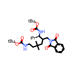 CC(C)[C@@H](NC(=O)OC(C)(C)C)C(CN1C(=O)c2ccccc2C1=O)CC(C)(C)CCNC(=O)OC(C)(C)C